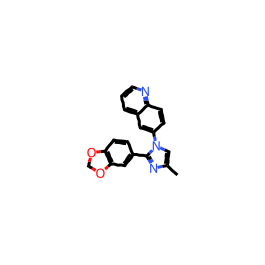 Cc1cn(-c2ccc3ncccc3c2)c(-c2ccc3c(c2)OCO3)n1